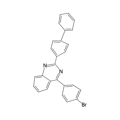 Brc1ccc(-c2nc(-c3ccc(-c4ccccc4)cc3)nc3ccccc23)cc1